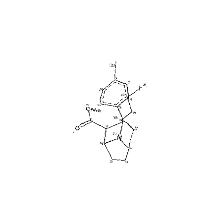 COC(=O)C1C(c2ccc([123I])cc2)CC2CCC1N2CCCF